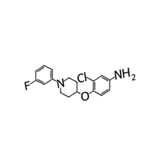 Nc1ccc(OC2CCN(c3cccc(F)c3)CC2)c(Cl)c1